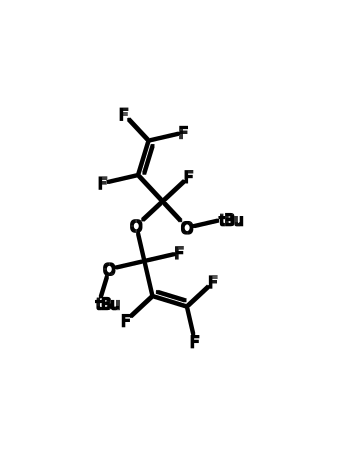 CC(C)(C)OC(F)(OC(F)(OC(C)(C)C)C(F)=C(F)F)C(F)=C(F)F